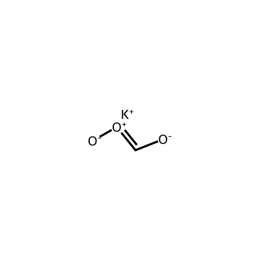 [K+].[O-]C=[O+][O-]